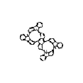 CC12c3ccc4c5ccccc5n(c4c3)-c3ccc4c5c6cc(ccc6c(c4c3)-c3ccc(c1c3)-c1ccccc12)-n1c2ccccc2c2ccc(cc21)C1(C)c2ccccc2-c2ccc-5cc21